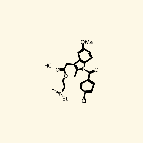 CCN(CC)CCOC(=O)Cc1c(C)n(C(=O)c2ccc(Cl)cc2)c2ccc(OC)cc12.Cl